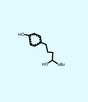 CCCCC(O)CCCc1ccc(O)cc1